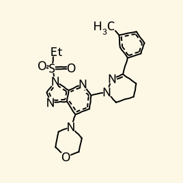 CCS(=O)(=O)n1cnc2c(N3CCOCC3)cc(N3CCCC(c4cccc(C)c4)=N3)nc21